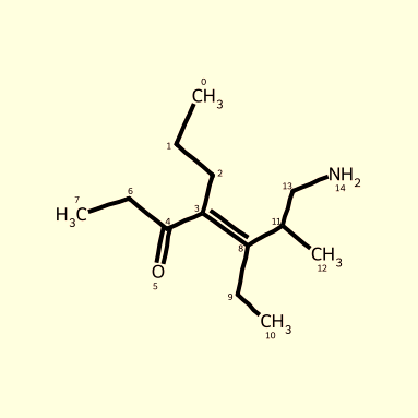 CCC/C(C(=O)CC)=C(/CC)C(C)CN